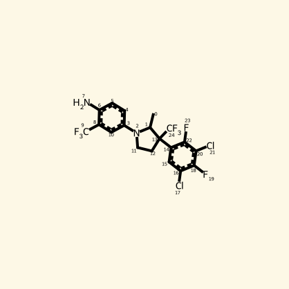 CC1N(c2ccc(N)c(C(F)(F)F)c2)CCC1(c1cc(Cl)c(F)c(Cl)c1F)C(F)(F)F